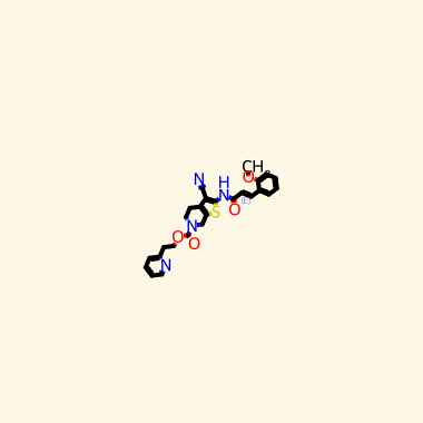 COc1ccccc1/C=C/C(=O)Nc1sc2c(c1C#N)CCN(C(=O)OCCc1ccccn1)C2